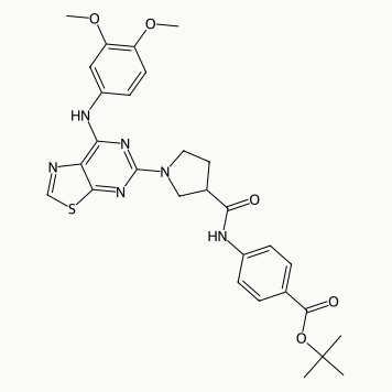 COc1ccc(Nc2nc(N3CCC(C(=O)Nc4ccc(C(=O)OC(C)(C)C)cc4)C3)nc3scnc23)cc1OC